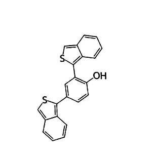 Oc1ccc(-c2scc3ccccc23)cc1-c1scc2ccccc12